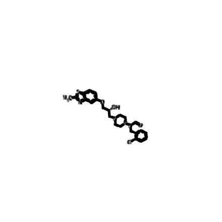 Cc1nc2cc(OC[C@H](O)CN3CCN(N(C=O)Cc4ccccc4Cl)CC3)ccc2s1